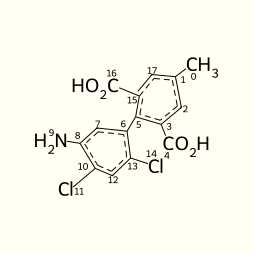 Cc1cc(C(=O)O)c(-c2cc(N)c(Cl)cc2Cl)c(C(=O)O)c1